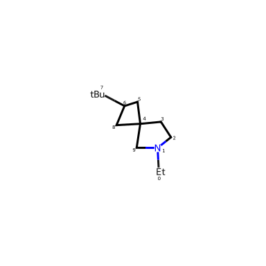 CCN1CCC2(CC(C(C)(C)C)C2)C1